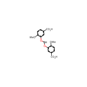 COc1ccc(C(=O)O)cc1OBOc1cc(C(=O)O)ccc1OC